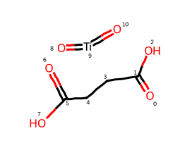 O=C(O)CCC(=O)O.[O]=[Ti]=[O]